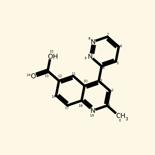 Cc1cc(-c2cccnn2)c2cc(C(=O)O)ccc2n1